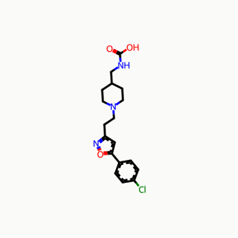 O=C(O)NCC1CCN(CCc2cc(-c3ccc(Cl)cc3)on2)CC1